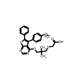 COc1ccc(-c2c(-c3ccccc3)oc3ncnc(OCC(C)(C)COCC(=O)O)c23)cc1